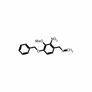 C=NCc1ccc(OCc2ccccc2)c(OC)c1[N+](=O)[O-]